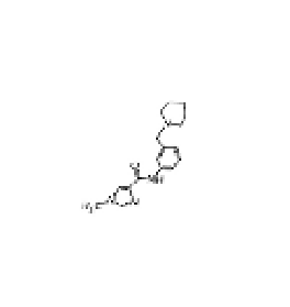 Cn1cnc(C(=O)Nc2cccc(CN3CCCCC3)c2)c1